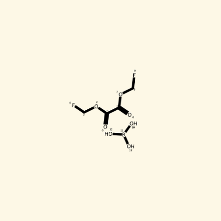 O=C(OCF)C(=O)OCF.OB(O)O